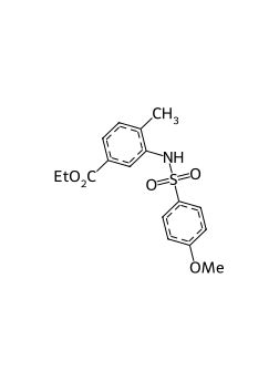 CCOC(=O)c1ccc(C)c(NS(=O)(=O)c2ccc(OC)cc2)c1